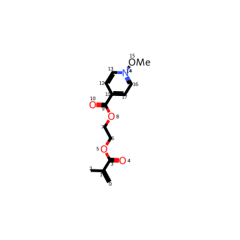 C=C(C)C(=O)OCCOC(=O)c1cc[n+](OC)cc1